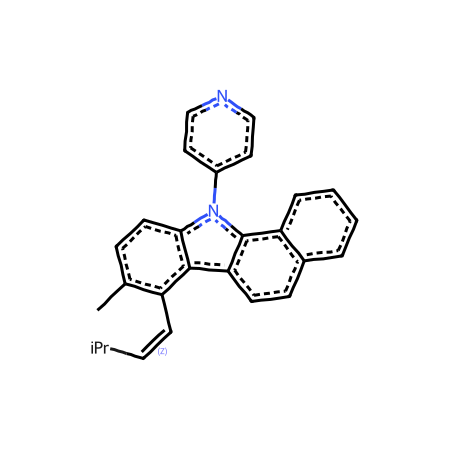 Cc1ccc2c(c1/C=C\C(C)C)c1ccc3ccccc3c1n2-c1ccncc1